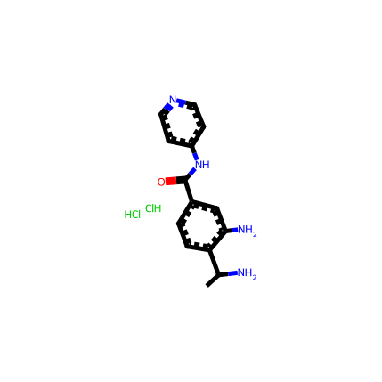 CC(N)c1ccc(C(=O)Nc2ccncc2)cc1N.Cl.Cl